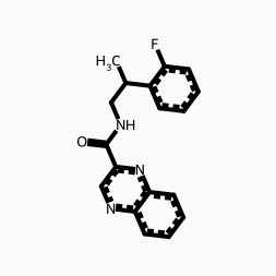 CC(CNC(=O)c1cnc2ccccc2n1)c1ccccc1F